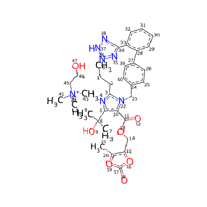 CCCc1nc(C(C)(C)O)c(C(=O)OCc2oc(=O)oc2C)n1Cc1ccc(-c2ccccc2-c2nn[nH]n2)cc1.C[N+](C)(C)CCO